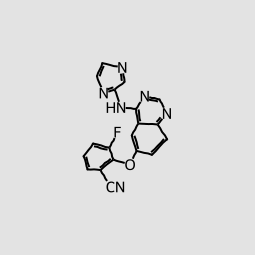 N#Cc1cccc(F)c1Oc1ccc2ncnc(Nc3cnccn3)c2c1